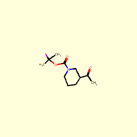 CC(=O)C1CCCN(C(=O)OC(C)(C)I)C1